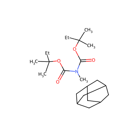 C1C2CC3CC1CC(C2)C3.CCC(C)(C)OC(=O)N(C)C(=O)OC(C)(C)CC